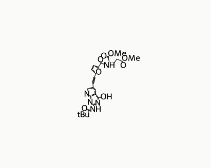 COC(=O)CC[C@H](NC(=O)c1ccc(C#Cc2cnc3nc(NC(=O)C(C)(C)C)nc(O)c3c2)o1)C(=O)OC